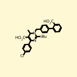 CCCCC1=NC(c2ccc(Cl)cc2)=C(C(=O)O)C(C)N1Cc1ccc(-c2ccccc2C(=O)O)cc1